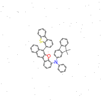 CC1(C)c2ccccc2-c2ccc(N(c3ccccc3)c3cccc4c3oc3c(-c5cccc6c5sc5ccccc56)c5ccccc5cc34)cc21